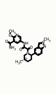 COc1ncc(NC(=O)C(=O)N2C[C@@H](C)CCC2c2ccc3nn(C)cc3c2)cc1C(N)=O